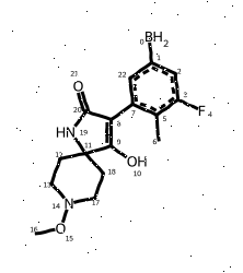 Bc1cc(F)c(C)c(C2=C(O)C3(CCN(OC)CC3)NC2=O)c1